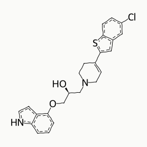 O[C@H](COc1cccc2[nH]ccc12)CN1CC=C(c2cc3cc(Cl)ccc3s2)CC1